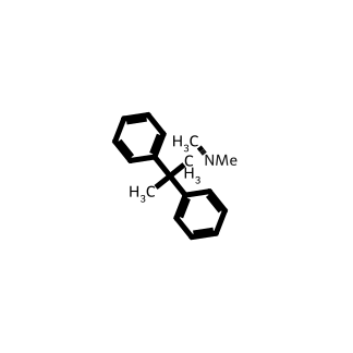 CC(C)(c1ccccc1)c1ccccc1.CNC